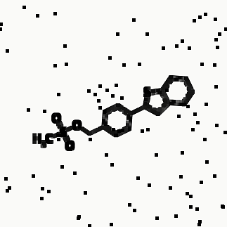 CS(=O)(=O)OCc1ccc(-c2cc3ccccc3s2)cc1